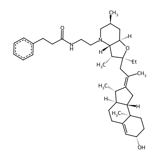 CC[C@@]1(C/C(C)=C2/C[C@H]3[C@@H](CCC4=C[C@@H](O)CC[C@@]43C)[C@@H]2C)O[C@@H]2C[C@H](C)CN(CCNC(=O)CCc3ccccc3)[C@H]2[C@H]1C